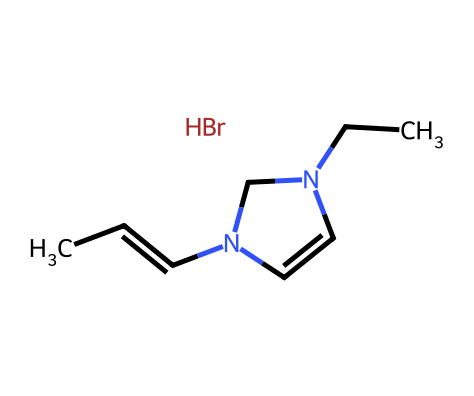 Br.CC=CN1C=CN(CC)C1